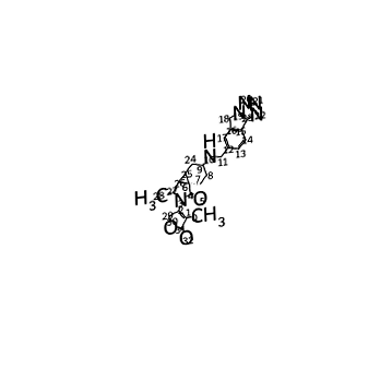 CC1=C(N2C(=O)[C@]34CC[C@H](NCc5ccc6c(c5)Cn5nnnc5-6)CC3C4[C@@H]2C)COC1=O